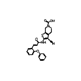 N#Cc1c(NC(=O)C=Cc2ccccc2Oc2ccccc2)sc2c1CCN(C(=O)O)C2